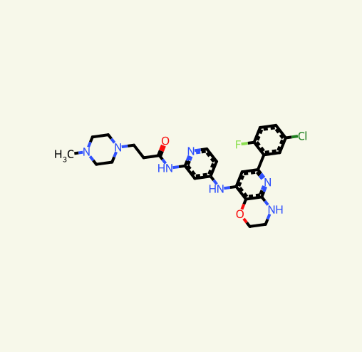 CN1CCN(CCC(=O)Nc2cc(Nc3cc(-c4cc(Cl)ccc4F)nc4c3OCCN4)ccn2)CC1